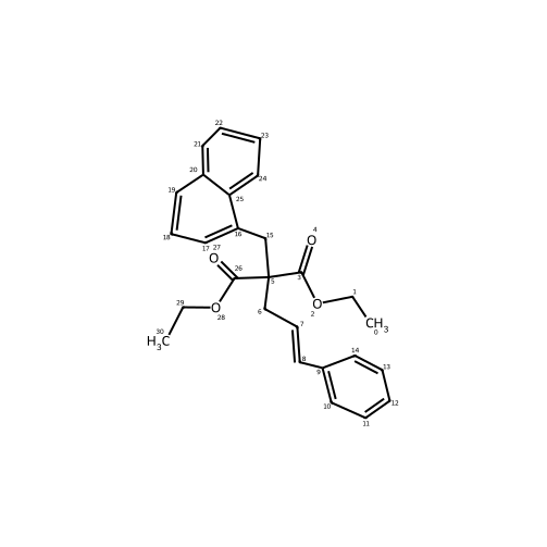 CCOC(=O)C(C/C=C/c1ccccc1)(Cc1cccc2ccccc12)C(=O)OCC